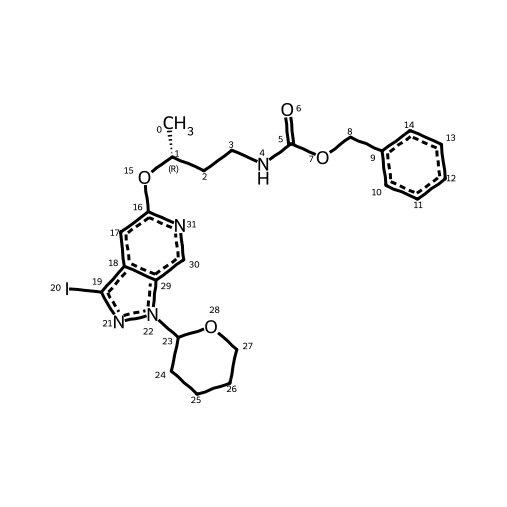 C[C@H](CCNC(=O)OCc1ccccc1)Oc1cc2c(I)nn(C3CCCCO3)c2cn1